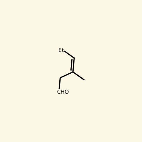 CCC=C(C)CC=O